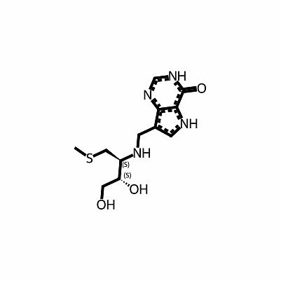 CSC[C@@H](NCc1c[nH]c2c(=O)[nH]cnc12)[C@H](O)CO